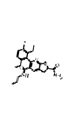 CCCNC(=O)c1cc2c(nc1-c1c(CC)ccc(Cl)c1CC)SC(C(N)=O)C2